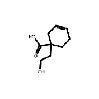 O=C(O)C1(CCO)CC=CCC1